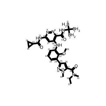 BC(B)(B)NC(=O)c1nnc(NC(=O)C2CC2)cc1Nc1cccc(-c2cc(C(=O)N(C)CC)n(C)n2)c1OC